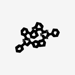 c1ccc(-c2cc(-c3ccccc3)nc(-c3ccccc3-c3cccc4c3sc3cccc(-c5nc(-c6ccccc6)nc(-c6ccccc6)n5)c34)n2)cc1